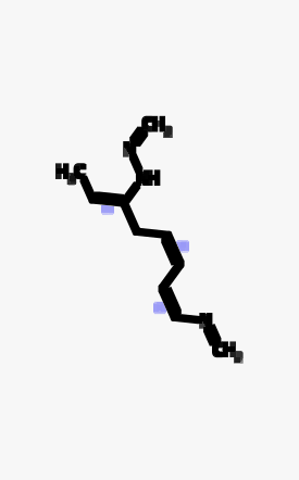 C=N/C=C\C=C/C/C(=C/C)NN=C